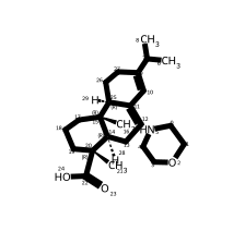 C1COCCN1.CC(C)C1=CC2=CC[C@@H]3[C@](C)(CCC[C@@]3(C)C(=O)O)[C@H]2CC1